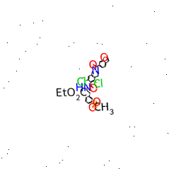 CCOC(=O)[C@H](Cc1cccc(S(C)(=O)=O)c1)NC(=O)c1c(Cl)cc2c(c1Cl)CCN(C(=O)c1ccc3ccoc3c1)C2